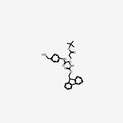 CC(C)(C)OC(=O)CC[C@H](NC(=O)OCC1c2ccccc2-c2ccccc21)C(=O)Nc1ccc(CO)cc1